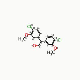 COc1cc(C([C]=O)c2ccc(Cl)c(OC)c2)ccc1Cl